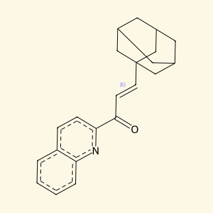 O=C(/C=C/C12CC3CC(CC(C3)C1)C2)c1ccc2ccccc2n1